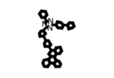 c1ccc(-c2ccc(-c3nc(-c4ccccc4)nc(-c4cccc(-c5ccc(-c6cc7c8ccccc8c8ccccc8c7c7ccccc67)cc5)c4)n3)cc2)cc1